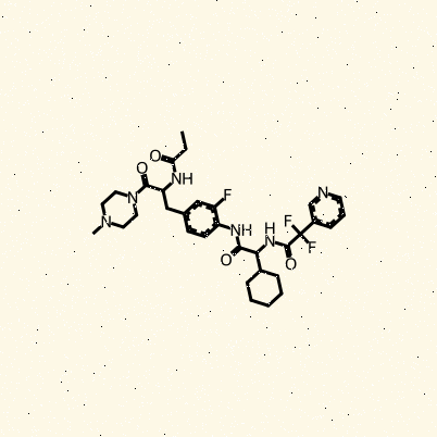 CCC(=O)NC(Cc1ccc(NC(=O)C(NC(=O)C(F)(F)c2cccnc2)C2CCCCC2)c(F)c1)C(=O)N1CCN(C)CC1